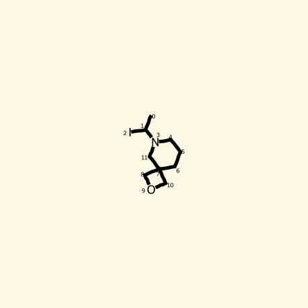 CC(I)N1CCCC2(COC2)C1